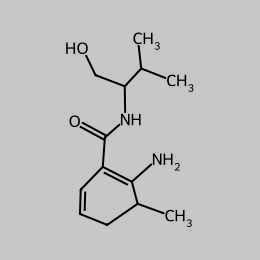 CC1CC=CC(C(=O)NC(CO)C(C)C)=C1N